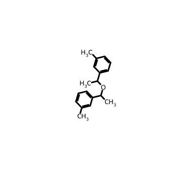 Cc1cccc(C(C)OC(C)c2cccc(C)c2)c1